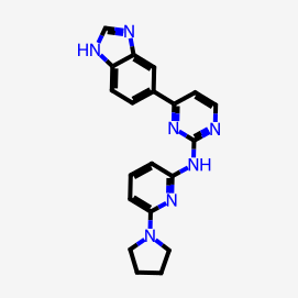 c1cc(Nc2nccc(-c3ccc4[nH]cnc4c3)n2)nc(N2CCCC2)c1